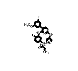 C=CC(=O)Nc1ccc(F)c(Nc2nc(Nc3cnn(C)c3)ncc2-c2cc(F)cc(OC)c2)c1